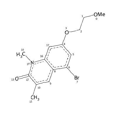 COCCOc1cc(Br)c2cc(C)c(=O)n(C)c2c1